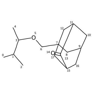 CC(C)C(C)OCC12CC3CC(C1)C(=O)C(C3)C2